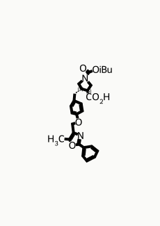 Cc1oc(-c2ccccc2)nc1COc1ccc(C[C@@H]2CN(C(=O)OCC(C)C)C[C@H]2C(=O)O)cc1